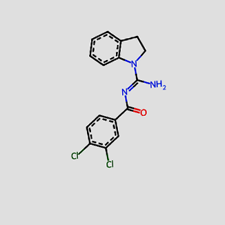 NC(=NC(=O)c1ccc(Cl)c(Cl)c1)N1CCc2ccccc21